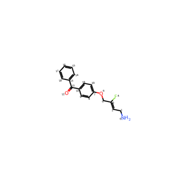 NC/C=C(\F)COc1ccc(C(=O)c2ccccc2)cc1